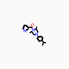 CC(C)c1ccc(N2CC(C)N(C(=O)c3cccnc3)C(C)C2)cc1